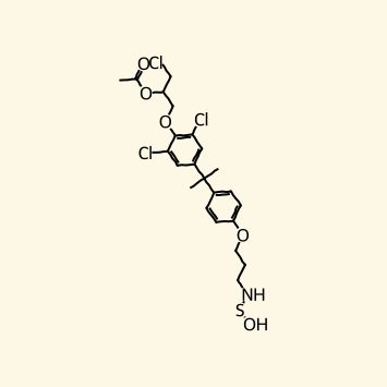 CC(=O)OC(CCl)COc1c(Cl)cc(C(C)(C)c2ccc(OCCCNSO)cc2)cc1Cl